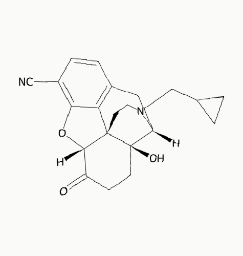 N#Cc1ccc2c3c1O[C@H]1C(=O)CC[C@@]4(O)[C@@H](C2)N(CC2CC2)CC[C@]314